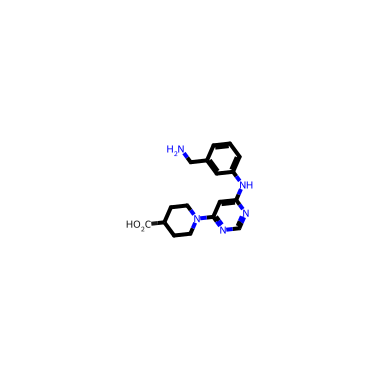 NCc1cccc(Nc2cc(N3CCC(C(=O)O)CC3)ncn2)c1